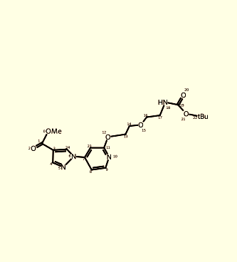 COC(=O)c1cnn(-c2ccnc(OCCOCCNC(=O)OC(C)(C)C)c2)c1